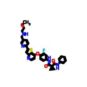 COCCNCc1ccc(-c2cc3nccc(Oc4ccc(NC(=O)C5(C(=O)Nc6ccccc6)CC5)cc4F)c3s2)nc1